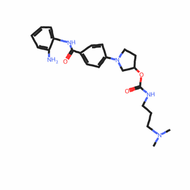 CN(C)CCCNC(=O)OC1CCN(c2ccc(C(=O)Nc3ccccc3N)cc2)C1